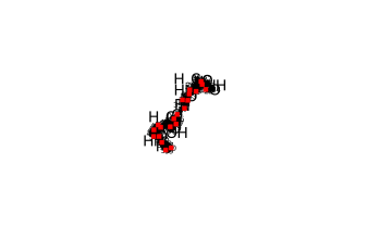 Cc1c(OCCCN2CCN(CC(=O)Nc3ccc4c(C5CCC(=O)NC5=O)nn(C)c4c3)CC2F)cccc1-c1ccc(N2CCc3cccc(C(=O)Nc4nc5ccccc5s4)c3C2)nc1C(=O)O